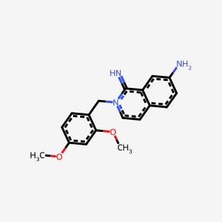 COc1ccc(Cn2ccc3ccc(N)cc3c2=N)c(OC)c1